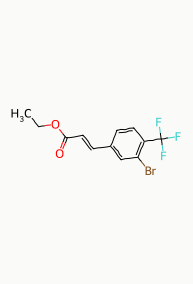 CCOC(=O)/C=C/c1ccc(C(F)(F)F)c(Br)c1